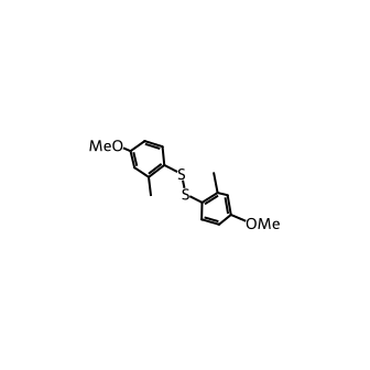 COc1ccc(SSc2ccc(OC)cc2C)c(C)c1